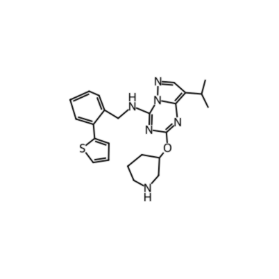 CC(C)c1cnn2c(NCc3ccccc3-c3cccs3)nc(OC3CCCNC3)nc12